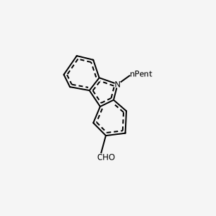 CCCCCn1c2ccccc2c2cc(C=O)ccc21